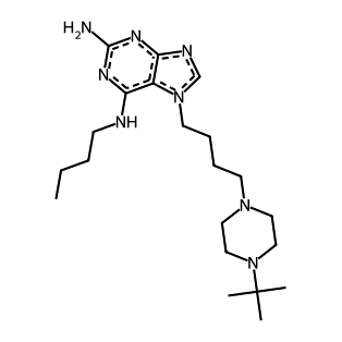 CCCCNc1nc(N)nc2ncn(CCCCN3CCN(C(C)(C)C)CC3)c12